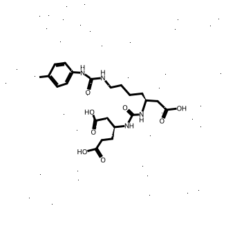 Cc1ccc(NC(=O)NCCCC[C@@H](CC(=O)O)NC(=O)N[C@@H](CCC(=O)O)CC(=O)O)cc1